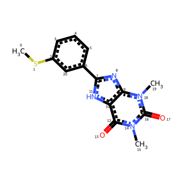 CSc1cccc(-c2nc3c([nH]2)c(=O)n(C)c(=O)n3C)c1